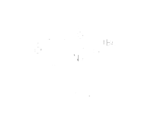 CC(C)(C)OC(=O)N(c1ccccc1)C1CCOCC1